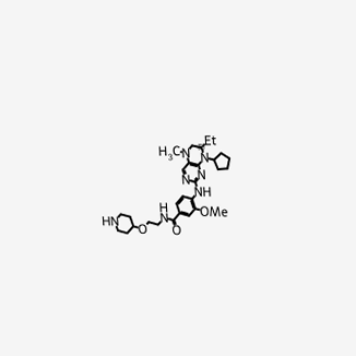 CC[C@@H]1CN(C)c2cnc(Nc3ccc(C(=O)NCCOC4CCNCC4)cc3OC)nc2N1C1CCCC1